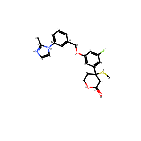 CSC1(c2cc(F)cc(OCc3cccc(-n4ccnc4C)c3)c2)CCOC(=O)C1